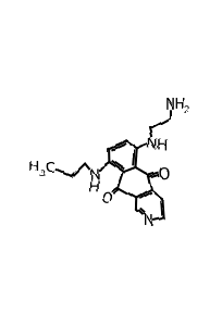 CCCNc1ccc(NCCN)c2c1C(=O)c1cnccc1C2=O